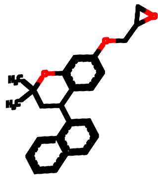 CC1(C)CC(c2cccc3ccccc23)c2ccc(OCC3CO3)cc2O1